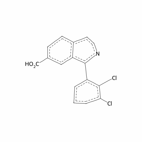 O=C(O)c1ccc2ccnc(-c3cccc(Cl)c3Cl)c2c1